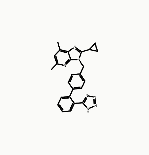 Cc1cc(C)c2nc(C3CC3)n(Cc3ccc(-c4ccccc4-c4nnn[nH]4)cc3)c2n1